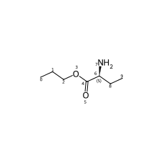 CCCOC(=O)[C@@H](N)CC